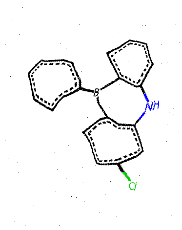 Clc1ccc2c(c1)Nc1ccccc1B2c1ccccc1